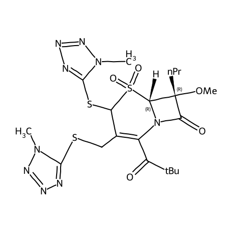 CCC[C@@]1(OC)C(=O)N2C(C(=O)C(C)(C)C)=C(CSc3nnnn3C)C(Sc3nnnn3C)S(=O)(=O)[C@@H]21